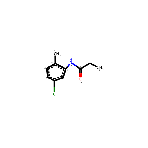 CCC(=O)Nc1cc(Cl)ccc1C